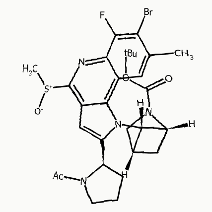 CC(=O)N1CCC[C@@H]1c1cc2c([S+](C)[O-])nc3c(F)c(Br)c(C)cc3c2n1[C@H]1[C@@H]2C[C@H]1N(C(=O)OC(C)(C)C)C2